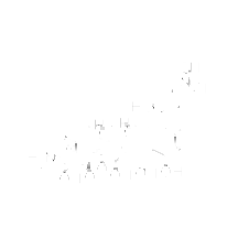 CN(C)CCC(O)C1C=CC(O)=C2C(O)C3C(O)[C@]4(O)C(=O)C(C(N)O)=C(O)C[C@@H]4C[C@@H]3CC21